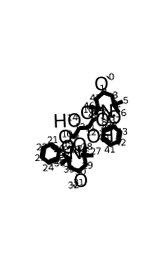 COC1CC(C)(C)[N+](OC(=O)C(O)C(O)C(=O)O[N+]2(Oc3ccccc3)C(C)(C)CC(OC)CC2(C)C)(Oc2ccccc2)C(C)(C)C1